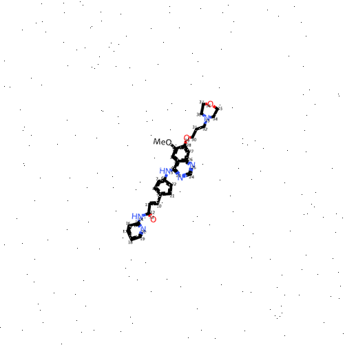 COc1cc2c(Nc3ccc(C=CC(=O)Nc4ccccn4)cc3)ncnc2cc1OCCCN1CCOCC1